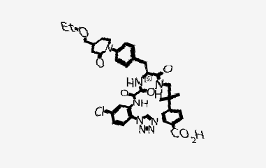 CCOCC1CCN(c2ccc(C[C@H](NC(=O)C(=O)Nc3cc(Cl)ccc3-n3cnnn3)C(=O)NCC(C)(C)c3ccc(C(=O)O)cc3)cc2)C(=O)C1